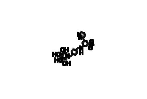 CS(=O)(=O)c1cc(NCc2ccc(CN3C[C@H](O)[C@@H](O)[C@H](O)[C@H]3CO)cc2)cc(-c2cccnn2)c1